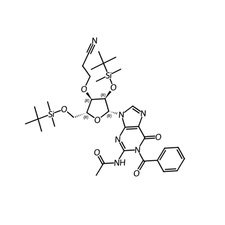 CC(=O)Nc1nc2c(ncn2[C@@H]2O[C@H](CO[Si](C)(C)C(C)(C)C)[C@@H](OCCC#N)[C@H]2O[Si](C)(C)C(C)(C)C)c(=O)n1C(=O)c1ccccc1